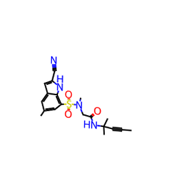 CC#CC(C)(C)NC(=O)CN(C)S(=O)(=O)c1cc(C)cc2cc(C#N)[nH]c12